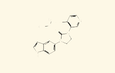 CC(C)(C)OC=O.Cc1ccncc1N1CCN(c2ccc3[nH]ccc3c2)C1=O